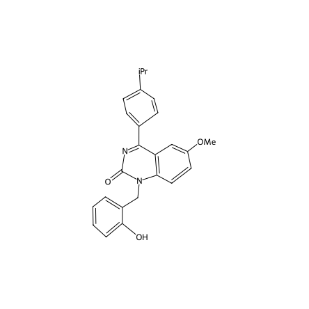 COc1ccc2c(c1)c(-c1ccc(C(C)C)cc1)nc(=O)n2Cc1ccccc1O